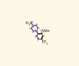 CSc1cc(C(F)(F)F)cnc1N1CCN(C)CC1